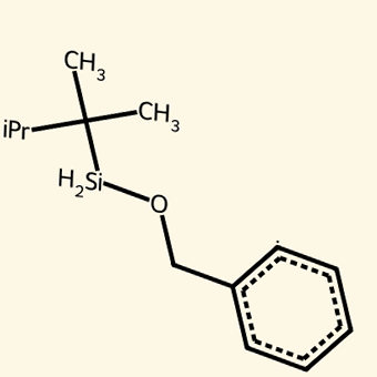 CC(C)C(C)(C)[SiH2]OCc1[c]cccc1